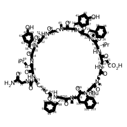 CCCC[C@H]1C(=O)N(C)CC(=O)N[C@@H](CC(=O)O)C(=O)N[C@@H](C(C)C)C(=O)N(C)[C@@H](Cc2ccccc2)C(=O)N[C@@H](Cc2ccc(O)cc2)C(=O)N(C)CC(=O)N[C@@H](C)C(=O)N[C@@H](Cc2ccc(O)cc2)C(=O)N[C@@H](CC(C)C)C(=O)N[C@@H](C(=O)NCC(N)=O)CSCC(=O)N[C@@H](Cc2ccccc2)C(=O)N(C)[C@H]2Cc3ccccc3N1C2=O